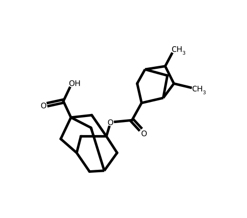 CC1C2CC(C(=O)OC34CC5CC(C3)CC(C(=O)O)(C5)C4)C(C2)C1C